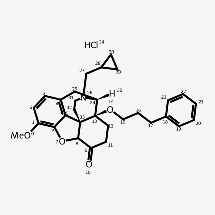 COc1ccc2c3c1OC1C(=O)CC[C@@]4(OCCCc5ccccc5)[C@@H](C2)N(CC2CC2)CC[C@]314.Cl